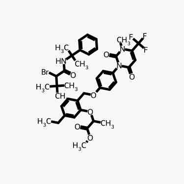 CC(C)(NC(=O)C(Br)C(C)(C)C)c1ccccc1.CCc1ccc(COc2ccc(-n3c(=O)cc(C(F)(F)F)n(C)c3=O)cc2)c(OC(C)C(=O)OC)c1